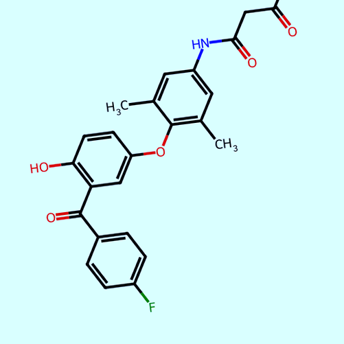 COC(=O)CC(=O)Nc1cc(C)c(Oc2ccc(O)c(C(=O)c3ccc(F)cc3)c2)c(C)c1